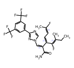 CC/C(C)=C(F)/C(=C\C=C(/C)F)C(=C\n1cnc(-c2cc(C(F)(F)F)cc(C(F)(F)F)c2)n1)/C(N)=O